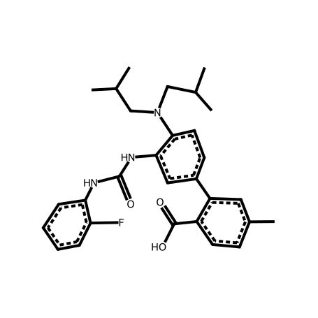 Cc1ccc(C(=O)O)c(-c2ccc(N(CC(C)C)CC(C)C)c(NC(=O)Nc3ccccc3F)c2)c1